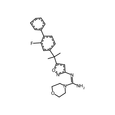 CC(C)(c1ccc(-c2ccccc2)c(F)c1)c1cc(N=C(N)N2CCOCC2)no1